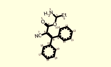 CCC(N)OC(=O)C(C#N)=C(c1ccccc1)c1ccccc1